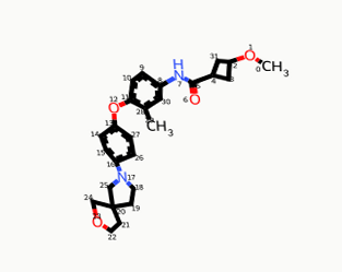 COC1CC(C(=O)Nc2ccc(Oc3ccc(N4CCC5(CCOC5)C4)cc3)c(C)c2)C1